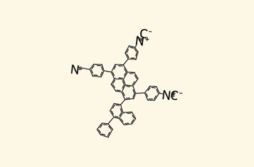 [C-]#[N+]c1ccc(-c2cc(-c3ccc(C#N)cc3)c3ccc4c(-c5ccc(-c6ccccc6)c6ccccc56)cc(-c5ccc([N+]#[C-])cc5)c5ccc2c3c54)cc1